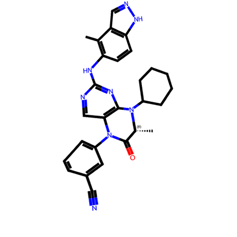 Cc1c(Nc2ncc3c(n2)N(C2CCCCC2)[C@H](C)C(=O)N3c2cccc(C#N)c2)ccc2[nH]ncc12